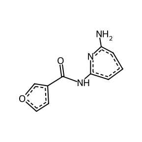 Nc1cccc(NC(=O)c2ccoc2)n1